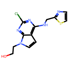 OCCn1ccc2c(NCc3nccs3)nc(Cl)nc21